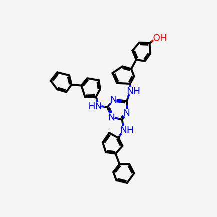 Oc1ccc(-c2cccc(Nc3nc(Nc4cccc(-c5ccccc5)c4)nc(Nc4cccc(-c5ccccc5)c4)n3)c2)cc1